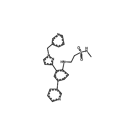 CNS(=O)(=O)CCNc1ccc(-c2cccnc2)cc1-c1ccn(Cc2cccnc2)n1